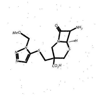 COCn1nncc1SCC1(C(=O)O)CS[C@@H]2C(N)C(=O)N2C1